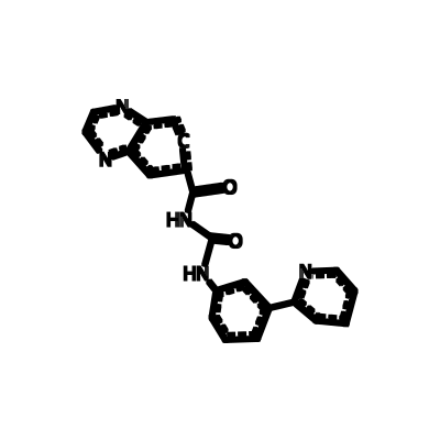 O=C(NC(=O)c1ccc2nccnc2c1)Nc1cccc(-c2ccccn2)c1